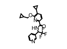 O=C(NC(c1cccnc1)C(F)(F)F)c1ccc(C2CC2)c(OCC2CC2)n1